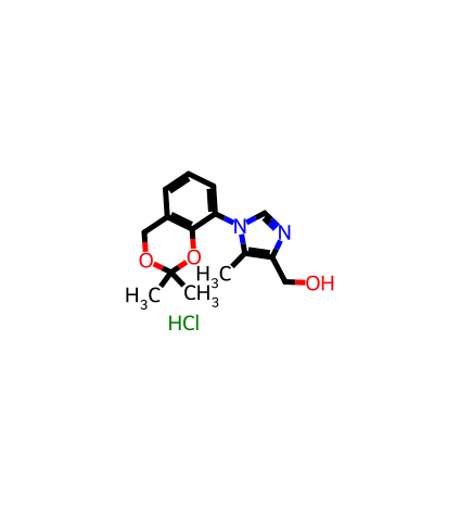 Cc1c(CO)ncn1-c1cccc2c1OC(C)(C)OC2.Cl